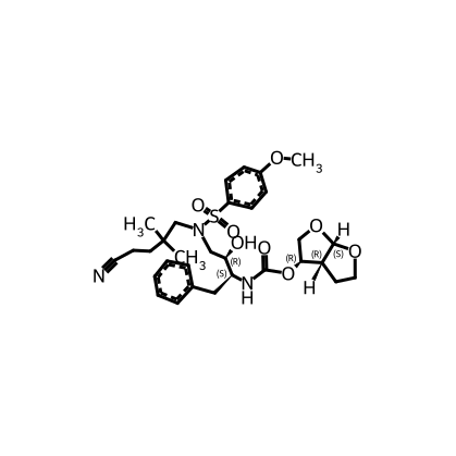 COc1ccc(S(=O)(=O)N(C[C@@H](O)[C@H](Cc2ccccc2)NC(=O)O[C@H]2CO[C@@H]3OCC[C@@H]32)CC(C)(C)CCC#N)cc1